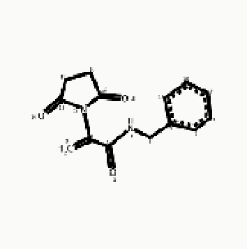 C=C(C(=O)NCc1ccccc1)N1C(=O)CCC1=O